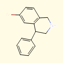 Brc1ccc2c(c1)C(c1ccccc1)CNC2